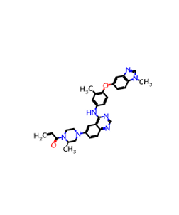 C=CC(=O)N1CCN(c2ccc3ncnc(Nc4ccc(Oc5ccc6c(c5)ncn6C)c(C)c4)c3c2)C[C@H]1C